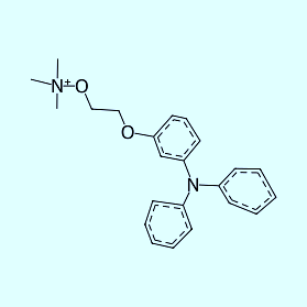 C[N+](C)(C)OCCOc1cccc(N(c2ccccc2)c2ccccc2)c1